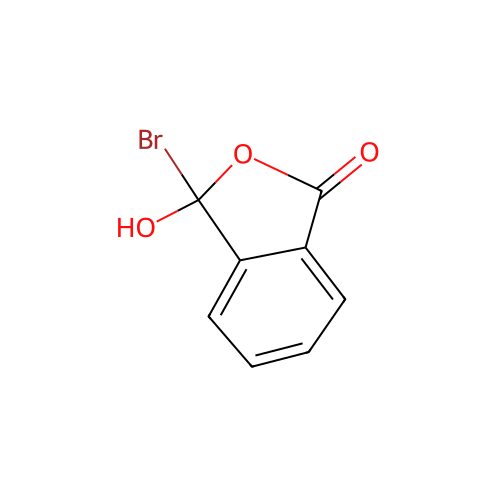 O=C1OC(O)(Br)c2ccccc21